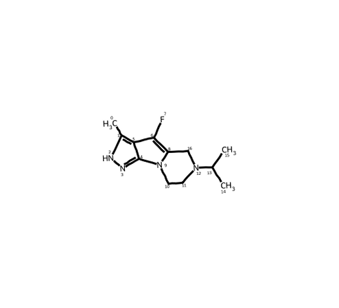 Cc1[nH]nc2c1c(F)c1n2CCN(C(C)C)C1